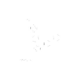 CNC(=O)CCc1cc(-c2ccc(-c3ccc(C)cc3)cc2)n(-c2ccc(-n3cc(CN)nn3)cc2)n1